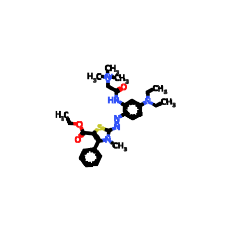 CCOC(=O)C1=C(c2ccccc2)N(C)C(N=Nc2ccc(N(CC)CC)cc2NC(=O)C[N+](C)(C)C)S1